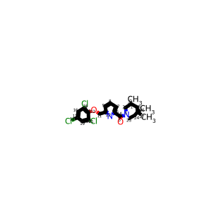 C[C@H]1CN(C(=O)c2cccc(COc3c(Cl)cc(Cl)cc3Cl)n2)CCC(C)(C)C1